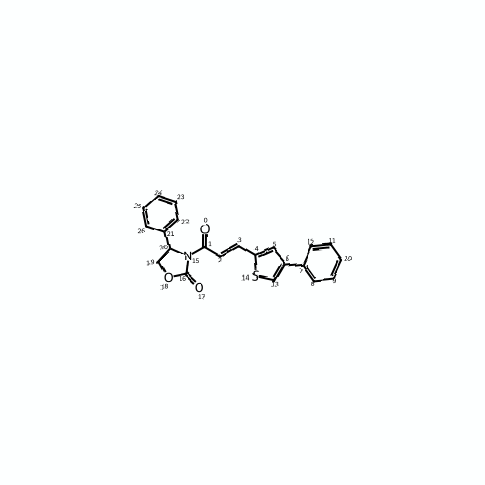 O=C(/C=C/c1cc(-c2ccccc2)cs1)N1C(=O)OCC1c1ccccc1